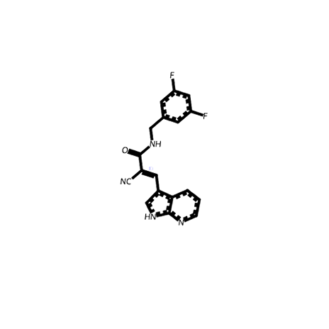 N#C/C(=C\c1c[nH]c2ncccc12)C(=O)NCc1cc(F)cc(F)c1